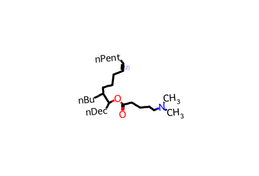 CCCCC/C=C\CCCC(CCCC)C(CCCCCCCCCC)OC(=O)CCCCN(C)C